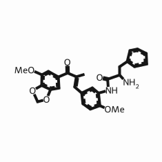 COc1ccc(C=C(C)C(=O)c2cc(OC)c3c(c2)OCO3)cc1NC(=O)C(N)Cc1ccccc1